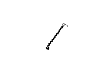 CCCCCCCCCCCCCCCCCCCCCC=Cn1cccc1